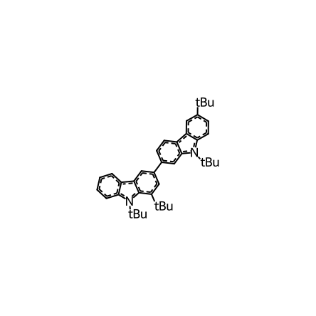 CC(C)(C)c1ccc2c(c1)c1ccc(-c3cc(C(C)(C)C)c4c(c3)c3ccccc3n4C(C)(C)C)cc1n2C(C)(C)C